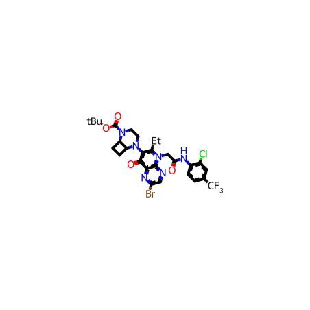 CCc1c(N2CCN(C(=O)OC(C)(C)C)C3CCC32)c(=O)c2nc(Br)cnc2n1CC(=O)Nc1ccc(C(F)(F)F)cc1Cl